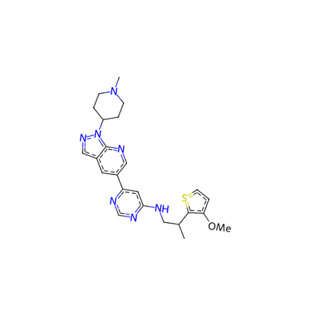 COc1ccsc1C(C)CNc1cc(-c2cnc3c(cnn3C3CCN(C)CC3)c2)ncn1